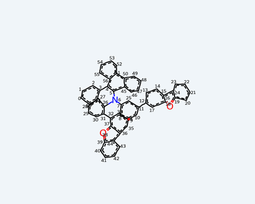 c1ccc(-c2c(N(c3cccc(-c4ccc5c(c4)oc4ccccc45)c3)c3ccccc3-c3cccc4c3oc3ccccc34)c3ccccc3c3ccccc23)cc1